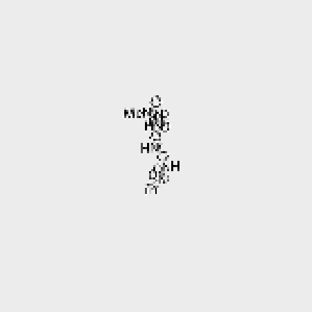 CN[C@@H](C(=O)N1CCC[C@H]1C(=O)Nc1ccc2[nH]c(-c3ccc(NC(=O)[C@@H]4CCCN4C(=O)CCC(C)C)cc3)cc2c1)c1ccccc1